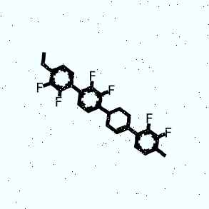 CCc1ccc(-c2ccc(C3CC=C(c4ccc(C)c(F)c4F)CC3)c(F)c2F)c(F)c1F